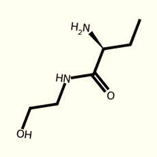 CC[C@H](N)C(=O)NCCO